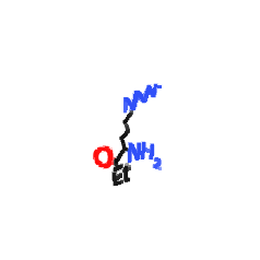 CCC(=O)C(N)CCCCN=[N+]=[N-]